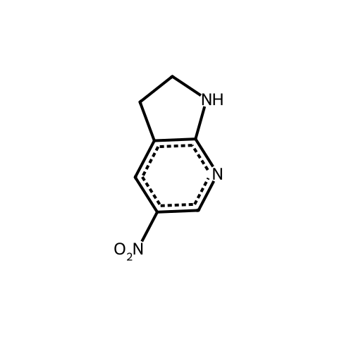 O=[N+]([O-])c1cnc2c(c1)CCN2